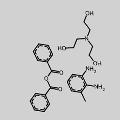 Cc1cccc(N)c1N.O=C(OC(=O)c1ccccc1)c1ccccc1.OCCN(CCO)CCO